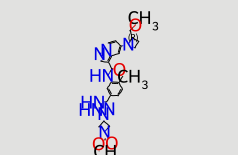 COC[C@H]1CCN1c1ccn2ncc(C(=O)Nc3cc(C4=NN(C5CN(C(=O)OC)C5)NN4)ccc3C)c2c1